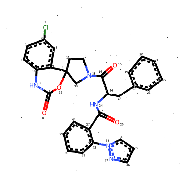 O=C1Nc2ccc(Cl)cc2C2(CCN(C(=O)C(Cc3ccccc3)NC(=O)c3ccccc3-n3cccn3)C2)O1